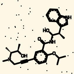 CC(C)Oc1ccc(C#CCN(C)[C@H](C)[C@@H](C)O)cc1C(=O)NC(O)[C@H](C)c1c[nH]c2ccccc12